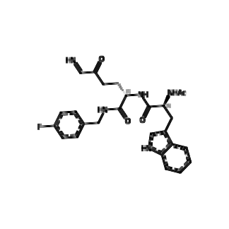 CC(=O)N[C@@H](Cc1c[nH]c2ccccc12)C(=O)N[C@@H](CCC(=O)C=N)C(=O)NCc1ccc(F)cc1